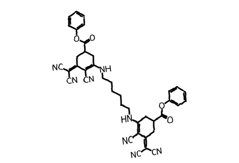 N#CC(C#N)=C1CC(C(=O)Oc2ccccc2)CC(NCCCCCCNC2=C(C#N)C(=C(C#N)C#N)CC(C(=O)Oc3ccccc3)C2)=C1C#N